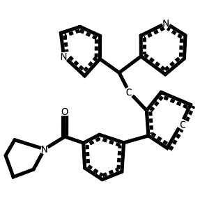 O=C(c1cccc(-c2ccccc2CC(c2cccnc2)c2cccnc2)c1)N1CCCC1